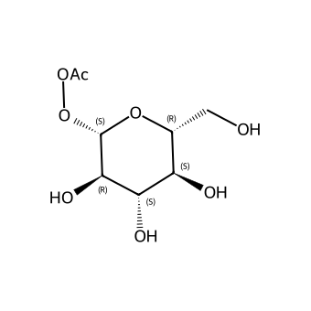 CC(=O)OO[C@@H]1O[C@H](CO)[C@@H](O)[C@H](O)[C@H]1O